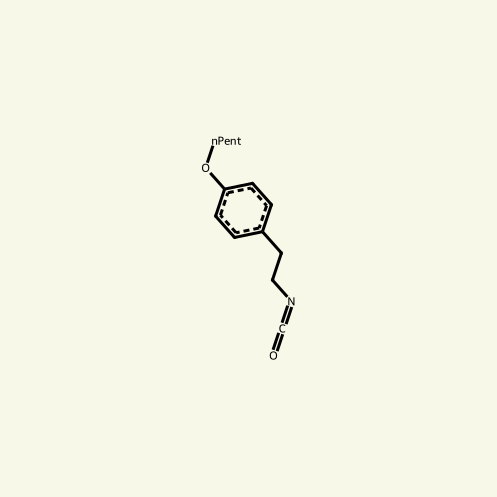 CCCCCOc1ccc(CCN=C=O)cc1